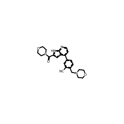 N#Cc1cc(-c2ccnc3[nH]c(C(=O)N4CCOCC4)cc23)ccc1CN1CCOCC1